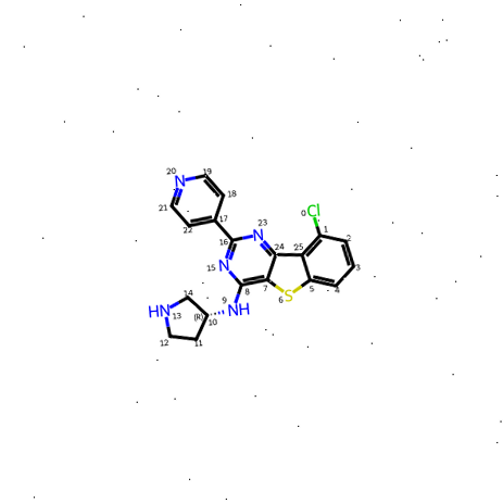 Clc1cccc2sc3c(N[C@@H]4CCNC4)nc(-c4ccncc4)nc3c12